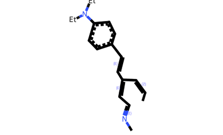 C\C=C/C(/C=C/c1ccc(N(CC)CC)cc1)=C\C=N\C